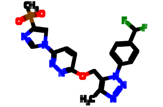 Cc1nnn(-c2ccc(C(F)F)cc2)c1COc1ccc(-n2cnc(S(C)(=O)=O)c2)nn1